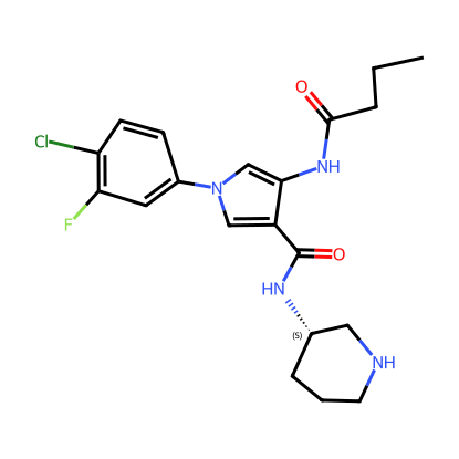 CCCC(=O)Nc1cn(-c2ccc(Cl)c(F)c2)cc1C(=O)N[C@H]1CCCNC1